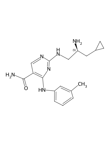 Cc1cccc(Nc2nc(NC[C@@H](N)CC3CC3)ncc2C(N)=O)c1